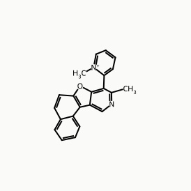 Cc1ncc2c(oc3ccc4ccccc4c32)c1-c1cccc[n+]1C